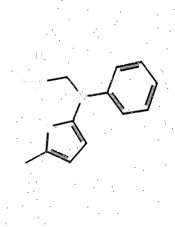 Cc1ccc(N(CC(=O)O)c2ccccc2)s1.Cl